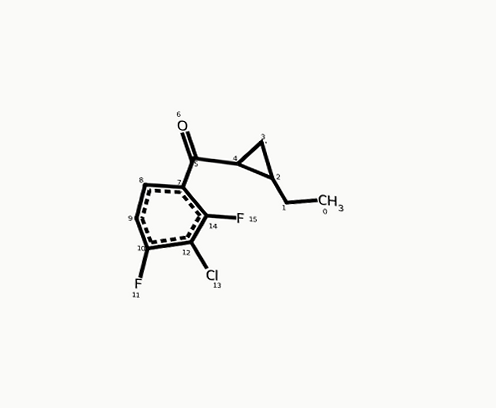 CCC1[CH]C1C(=O)c1ccc(F)c(Cl)c1F